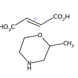 CC1CNCCO1.O=C(O)/C=C/C(=O)O